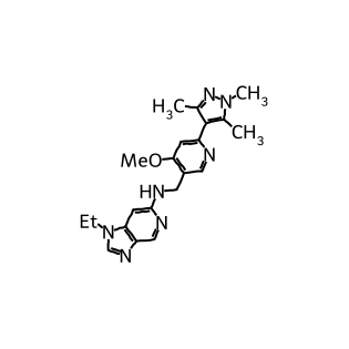 CCn1cnc2cnc(NCc3cnc(-c4c(C)nn(C)c4C)cc3OC)cc21